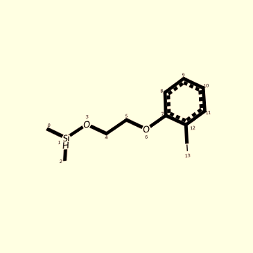 C[SiH](C)OCCOc1ccccc1I